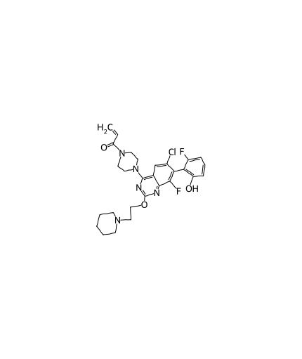 C=CC(=O)N1CCN(c2nc(OCCN3CCCCC3)nc3c(F)c(-c4c(O)cccc4F)c(Cl)cc23)CC1